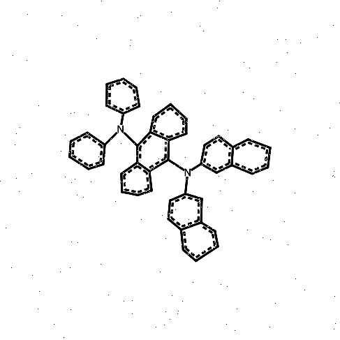 c1ccc(N(c2ccccc2)c2c3ccccc3c(N(c3ccc4ccccc4c3)c3ccc4ccccc4c3)c3ccccc23)cc1